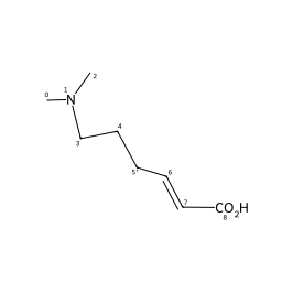 CN(C)CC[CH]C=CC(=O)O